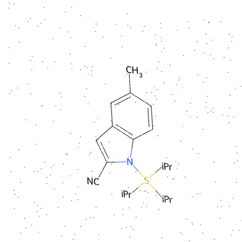 Cc1ccc2c(c1)cc(C#N)n2S(C(C)C)(C(C)C)C(C)C